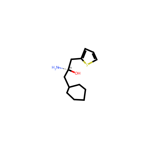 N[C@@](O)(Cc1cccs1)CC1CCCCC1